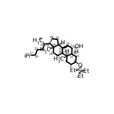 CC[Si](CC)(CC)O[C@H]1CC[C@@]2(C)[C@H](C1)[C@@H](O)C=C1[C@@H]2CC[C@]2(C)[C@@H]([C@H](C)CCCC(C)C)CC[C@@H]12